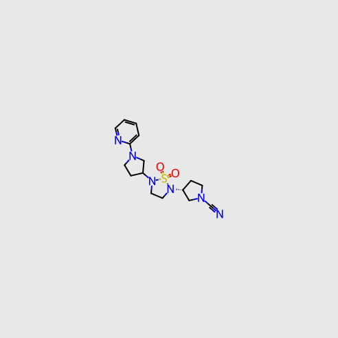 N#CN1CC[C@@H](N2CCN(C3CCN(c4ccccn4)C3)S2(=O)=O)C1